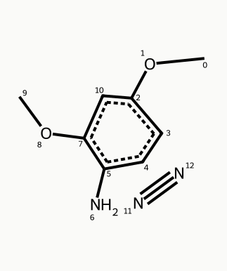 COc1ccc(N)c(OC)c1.N#N